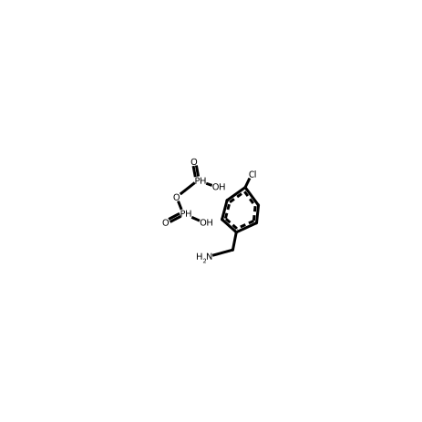 NCc1ccc(Cl)cc1.O=[PH](O)O[PH](=O)O